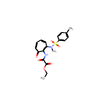 CCOC(=O)C(=O)Nc1c(N(C)S(=O)(=O)c2ccc(C)cc2)ccccc1=O